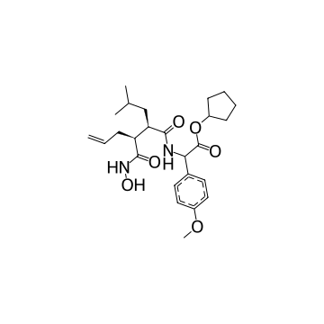 C=CC[C@H](C(=O)NO)[C@@H](CC(C)C)C(=O)NC(C(=O)OC1CCCC1)c1ccc(OC)cc1